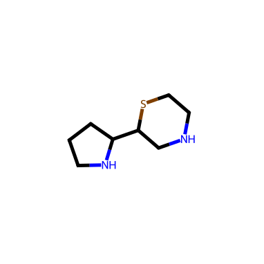 C1CNC(C2CNCCS2)C1